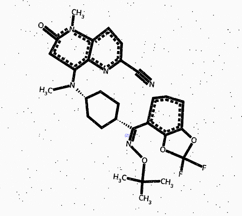 Cn1c(=O)cc(N(C)[C@H]2CC[C@@H](/C(=N/OC(C)(C)C)c3cccc4c3OC(F)(F)O4)CC2)c2nc(C#N)ccc21